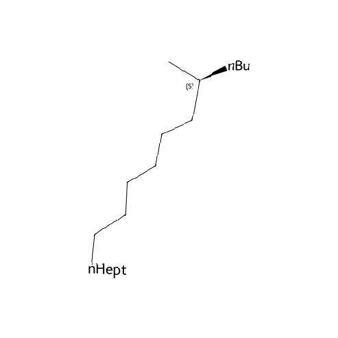 CCCCCCCCCCCCC[C@@H](C)CCCC